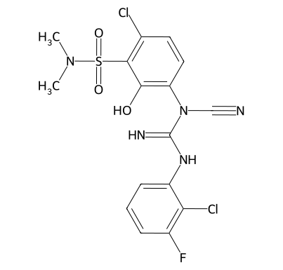 CN(C)S(=O)(=O)c1c(Cl)ccc(N(C#N)C(=N)Nc2cccc(F)c2Cl)c1O